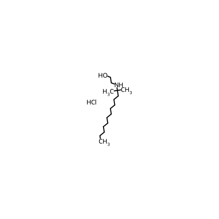 CCCCCCCCCCCC(C)(C)NCCO.Cl